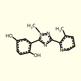 Cc1cccnc1-c1nc(-c2cc(O)ccc2O)n(C)n1